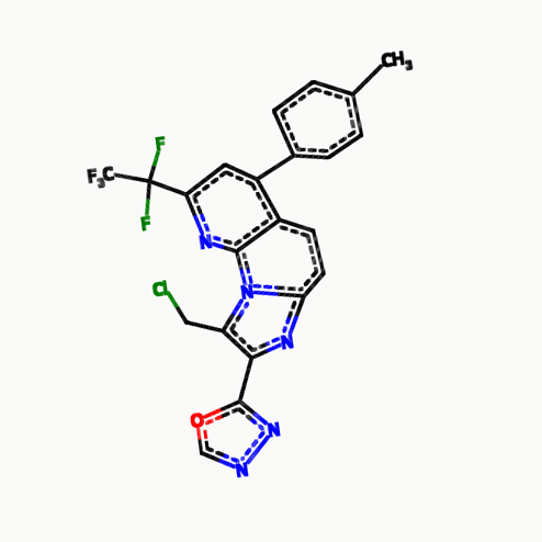 Cc1ccc(-c2cc(C(F)(F)C(F)(F)F)nc3c2ccc2nc(-c4nnco4)c(CCl)n23)cc1